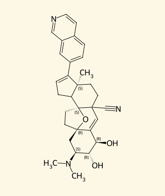 CN(C)[C@H]1C[C@@]23CC[C@]4(O2)C2CC=C(c5ccc6ccncc6c5)[C@@]2(C)CCC4(C#N)C=C3[C@@H](O)[C@@H]1O